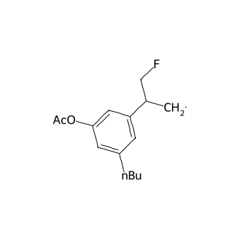 [CH2]C(CF)c1cc(CCCC)cc(OC(C)=O)c1